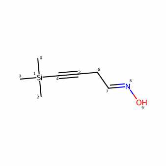 C[Si](C)(C)C#CCC=NO